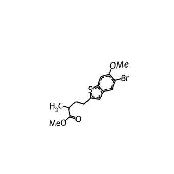 COC(=O)C(C)CCc1cc2cc(Br)c(OC)cc2s1